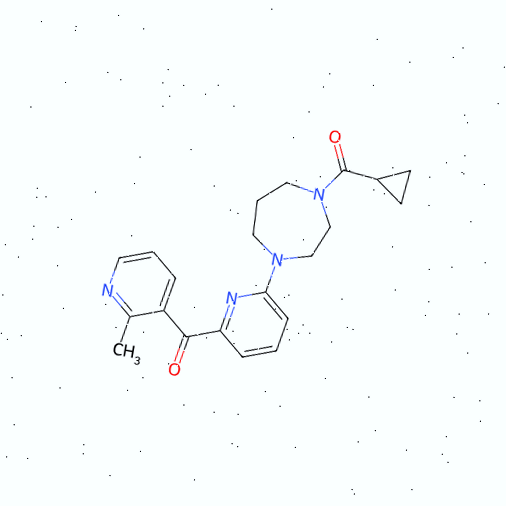 Cc1ncccc1C(=O)c1cccc(N2CCCN(C(=O)C3CC3)CC2)n1